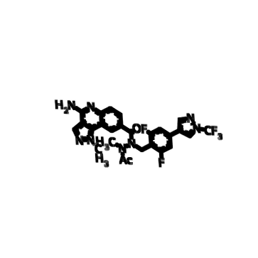 CC(=O)N(C)N(Cc1c(F)cc(-c2cnn(C(F)(F)F)c2)cc1F)C(=O)c1ccc2nc(N)c3cnn(C)c3c2c1